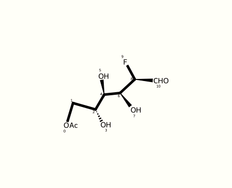 CC(=O)OC[C@@H](O)[C@@H](O)[C@H](O)[C@@H](F)C=O